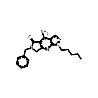 CCCCCn1ncc2c(N)c3c(nc21)CN(Cc1ccccc1)C3=O